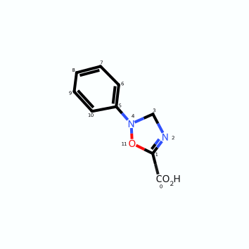 O=C(O)C1=NCN(c2ccccc2)O1